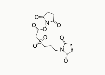 O=C(CS(=O)(=O)CCCN1C(=O)C=CC1=O)ON1C(=O)CCC1=O